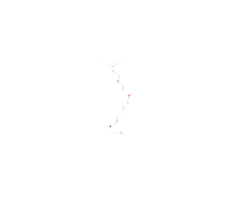 CCCCCCCCCCC(=O)CCCCCC(=O)OCCCCC(CCCCCCCC)CCCCCCCC